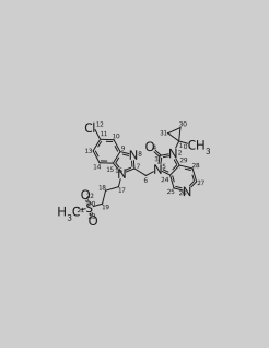 CC1(n2c(=O)n(Cc3nc4cc(Cl)ccc4n3CCCS(C)(=O)=O)c3cnccc32)CC1